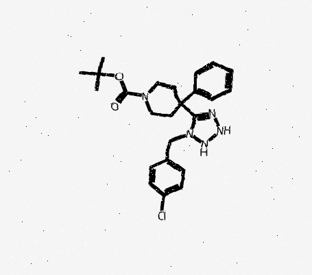 CC(C)(C)OC(=O)N1CCC(C2=NNNN2Cc2ccc(Cl)cc2)(c2ccccc2)CC1